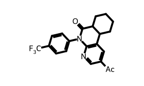 CC(=O)c1cnc2c(c1)C1CCCCC1C(=O)N2c1ccc(C(F)(F)F)cc1